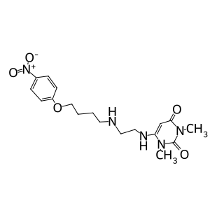 Cn1c(NCCNCCCCOc2ccc([N+](=O)[O-])cc2)cc(=O)n(C)c1=O